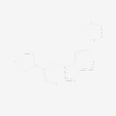 Cn1c2ccc(N3C=NCC3)cc2c2cc(N3C=NCC3)ccc21